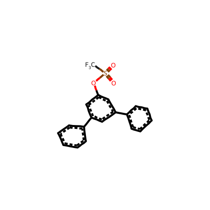 O=S(=O)(Oc1cc(-c2ccccc2)cc(-c2ccccc2)c1)C(F)(F)F